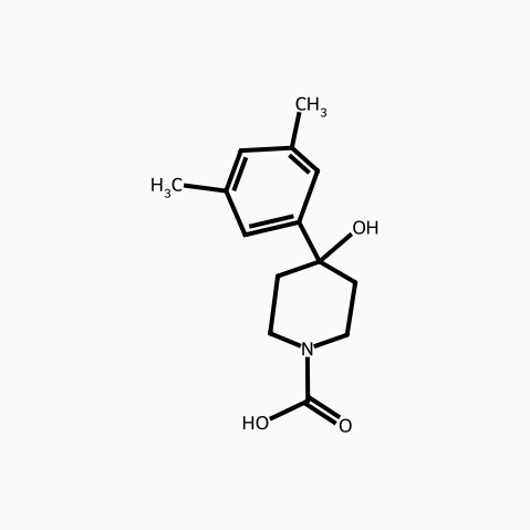 Cc1cc(C)cc(C2(O)CCN(C(=O)O)CC2)c1